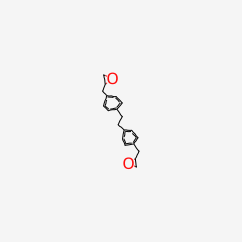 c1cc(CC2CO2)ccc1CCc1ccc(CC2CO2)cc1